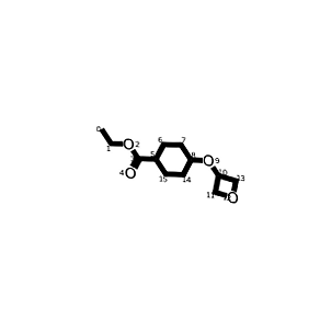 CCOC(=O)C1CCC(OC2COC2)CC1